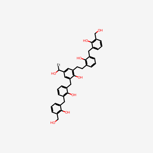 CCC(O)c1cc(CCc2cccc(Cc3cccc(CO)c3O)c2O)c(O)c(Cc2cccc(Cc3cccc(CO)c3O)c2O)c1